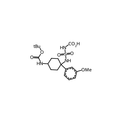 COc1cccc(C2(NS(=O)(=O)NC(=O)O)CCC(NC(=O)OC(C)(C)C)CC2)c1